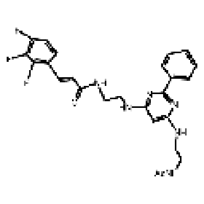 CC(=O)NCCNc1cc(NCCNC(=O)C=Cc2ccc(F)c(F)c2F)nc(-c2ccccc2)n1